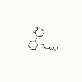 O=C(O)/C=C/c1ccccc1-c1cccnn1